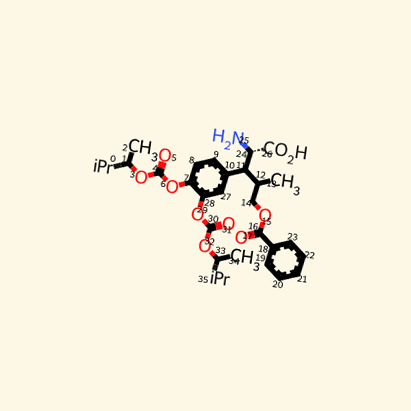 CC(C)C(C)OC(=O)Oc1ccc(C(C(C)COC(=O)c2ccccc2)[C@H](N)C(=O)O)cc1OC(=O)OC(C)C(C)C